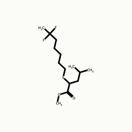 COC(=O)C(CC(C)C)SCCCCCC(C)(F)F